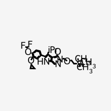 CC(C)c1c(-c2ccc(OC(F)F)c(OC3CC3)c2)[nH]c2cnn(COCC[Si](C)(C)C)c(=O)c12